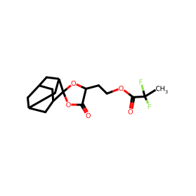 CC(F)(F)C(=O)OCCC1OC2(OC1=O)C1CC3CC(C1)CC2C3